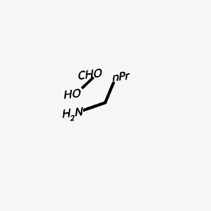 CCCCN.O=CO